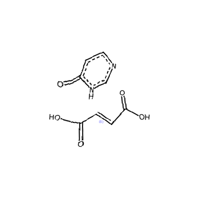 O=C(O)/C=C/C(=O)O.O=c1ccnc[nH]1